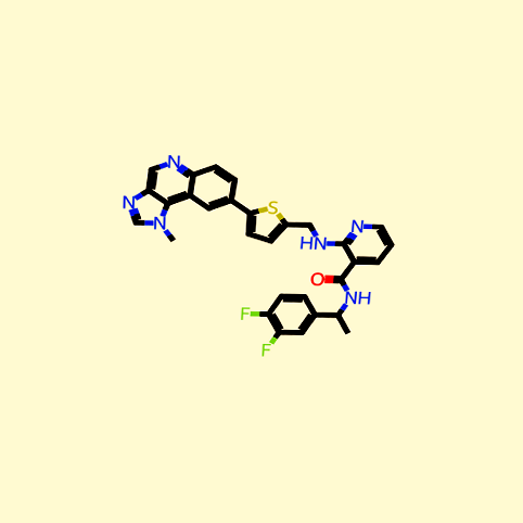 CC(NC(=O)c1cccnc1NCc1ccc(-c2ccc3ncc4ncn(C)c4c3c2)s1)c1ccc(F)c(F)c1